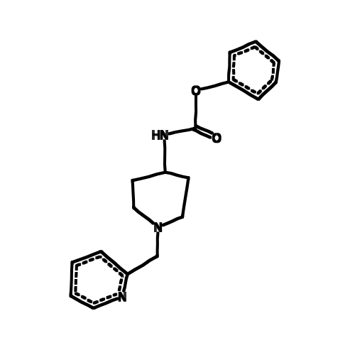 O=C(NC1CCN(Cc2ccccn2)CC1)Oc1ccccc1